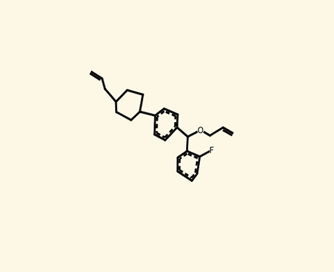 C=CCOC(c1ccc(C2CCC(CC=C)CC2)cc1)c1ccccc1F